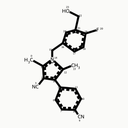 Cc1c(C#N)c(-c2ccc(C#N)cc2)c(C)n1Cc1ccc(F)c(CO)c1